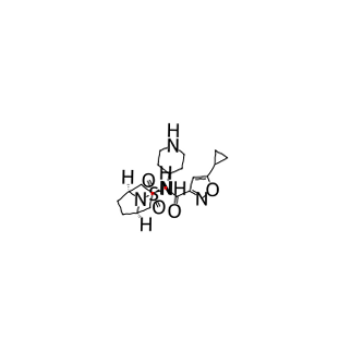 O=C(N[C@H]1C[C@H]2CC[C@@H](C1)N2S(=O)(=O)NC1CCNCC1)c1cc(C2CC2)on1